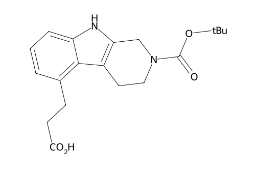 CC(C)(C)OC(=O)N1CCc2c([nH]c3cccc(CCC(=O)O)c23)C1